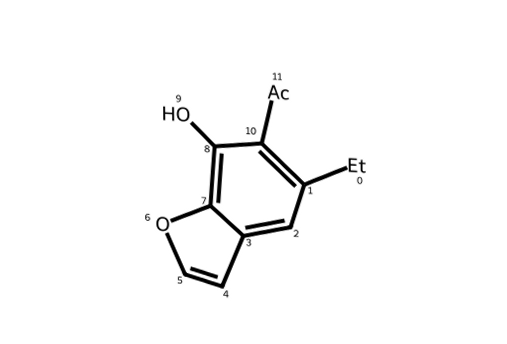 CCc1cc2ccoc2c(O)c1C(C)=O